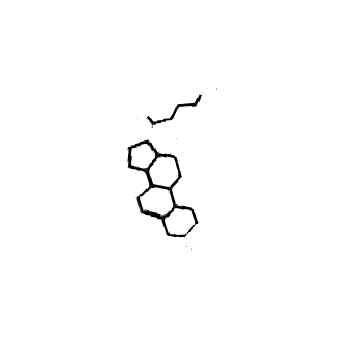 CC(CCCO)[C@H]1CCC2C3CC=C4C[C@@H](O)CC[C@]4(C)C3CC[C@@]21C